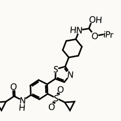 CC(C)OC(O)NC1CCC(c2ncc(-c3ccc(NC(=O)C4CC4)cc3S(=O)(=O)C3CC3)s2)CC1